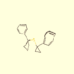 c1ccc(C2(SC3(c4ccccc4)CC3)CC2)cc1